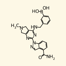 CN1Cc2nc(-n3ncc4c(C(N)=O)cccc43)nc(NCc3cccc(B(O)O)c3)c2C1